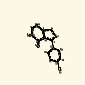 O=c1[nH]cnc2csc(-c3ccc(Cl)cc3)c12